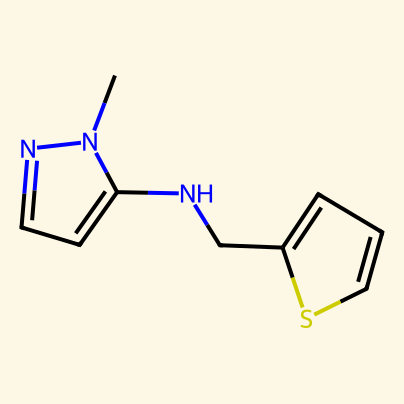 Cn1nccc1NCc1cccs1